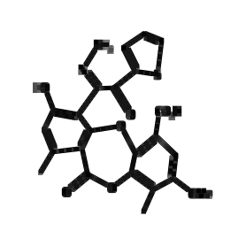 COc1cc(C(=O)O)c2c(c1C)OC(=O)c1c(C)cc(O)c(C(=NN)C(=O)c3cccs3)c1O2